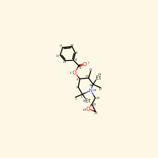 CCC1(C)CC(OC(=O)c2ccccc2)C(C)C(C)(CC)N1CC1CO1